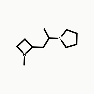 CC(CC1CCN1C)N1CCCC1